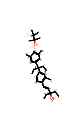 BC(C)(C)C(C)(C)OBc1c(C)cc(C(CC)(CC)c2ccc(/C=C/C(O)(CC)CC)c(C)c2)cc1C